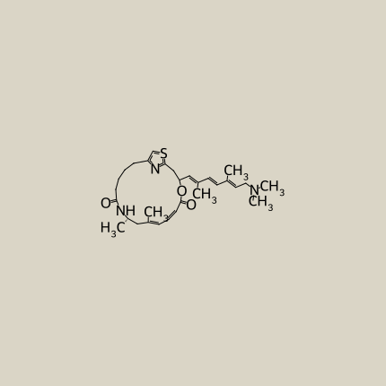 CC(/C=C/C(C)=C/C1Cc2nc(cs2)CCCCC(=O)N[C@@H](C)C/C(C)=C/C=C\C(=O)O1)=C\CN(C)C